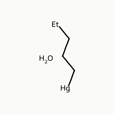 CCCC[CH2][Hg].O